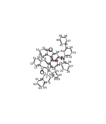 C1=CC2C(Oc3c(ccc4ccccc34)C23c2ccccc2-c2c(-c4ccccc4N(c4cccc(-c5ccccc5)c4)c4ccc5c(c4)oc4ccccc45)cccc23)c2ccccc21